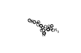 COc1ccc(C(c2ccncc2)C2C(=O)c3ccc(OC(=O)C4CCN(N5CCCCC5)CC4)cc3C2=O)cc1OC1CCCC1